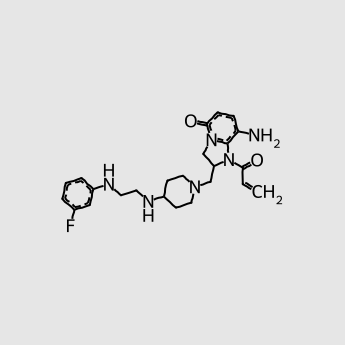 C=CC(=O)N1c2c(N)ccc(=O)n2CC1CN1CCC(NCCNc2cccc(F)c2)CC1